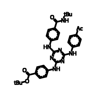 CC(=O)c1ccc(Nc2nc(Nc3ccc(C(=O)NC(C)(C)C)cc3)nc(Nc3ccc(C(=O)OC(C)(C)C)cc3)n2)cc1